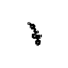 O=C(CCc1ccc(Cl)nc1)N1CCCc2c(-c3ccncc3)n[nH]c21